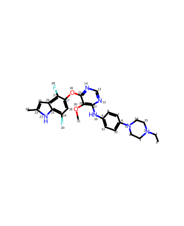 CCN1CCN(c2ccc(Nc3ncnc(Oc4cc(F)c5[nH]c(C)cc5c4F)c3OC)cc2)CC1